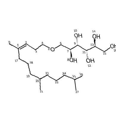 CC(=CCCOC[C@H](O)[C@H](O)[C@@H](O)[C@@H](O)CO)CCCC(C)CCCC(C)C